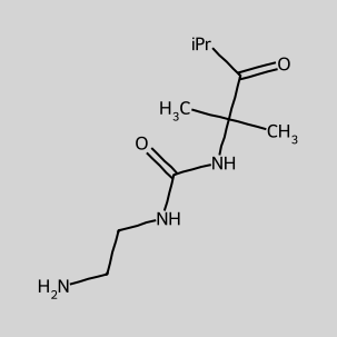 CC(C)C(=O)C(C)(C)NC(=O)NCCN